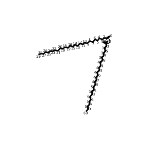 C=C(CCCCCCCCCCCCCCCCCCCCCCCCCCCC)OC(=C)CCCCCCCCCCCCCCCCCCCCCCCCCCCC